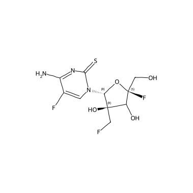 Nc1nc(=S)n([C@@H]2O[C@](F)(CO)C(O)[C@]2(O)CF)cc1F